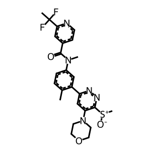 Cc1ccc(N(C)C(=O)c2ccnc(C(C)(F)F)c2)cc1-c1cc(N2CCOCC2)c([S+](C)[O-])nn1